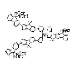 CCCCCCCCC1(CCCCCCCC)c2ccccc2-c2ccc(-c3ccc4c(c3)C(C)(C)c3cc(-c5cccc(N(c6cccc(-c7ccc8c(c7)C(C)(C)c7cc(-c9ccc%10c(c9)C(CCCCCCCC)(CCCCCCCC)c9ccccc9-%10)ccc7-8)c6)c6cc7c(c8ccccc68)-c6cc8c(cc6C7(C)C)-c6ccccc6C8(CCCCCCCC)CCCCCCCC)c5)ccc3-4)cc21